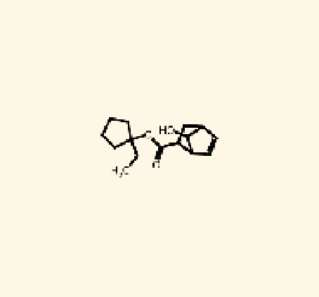 CCC1(OC(=O)C2CC3C=CC2C3O)CCCC1